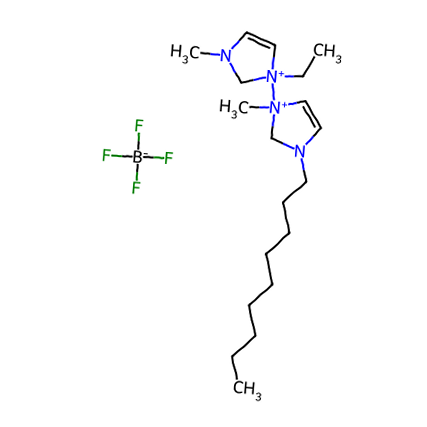 CCCCCCCCCN1C=C[N+](C)([N+]2(CC)C=CN(C)C2)C1.F[B-](F)(F)F